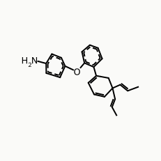 CC=CC1(C=CC)C=CC=C(c2ccccc2Oc2ccc(N)cc2)C1